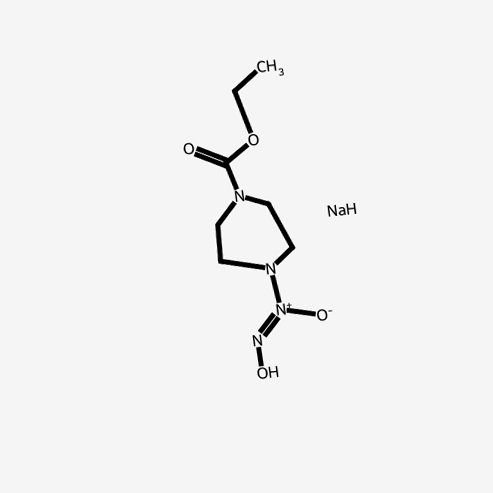 CCOC(=O)N1CCN([N+]([O-])=NO)CC1.[NaH]